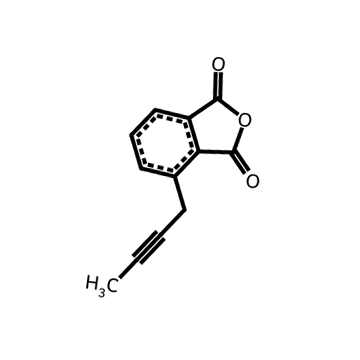 CC#CCc1cccc2c1C(=O)OC2=O